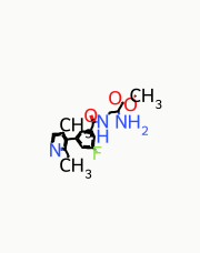 CCc1nccc(C)c1-c1cc(F)cc(C(=O)NCC(N)C(=O)OC)c1